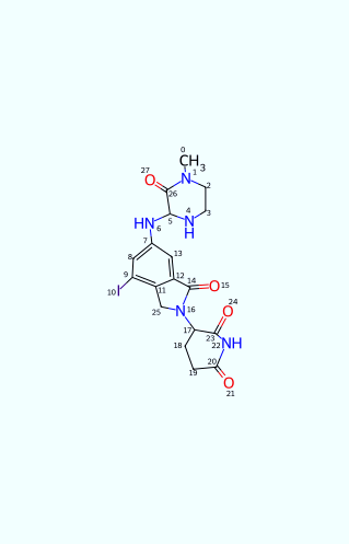 CN1CCNC(Nc2cc(I)c3c(c2)C(=O)N(C2CCC(=O)NC2=O)C3)C1=O